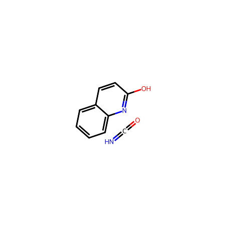 N=C=O.Oc1ccc2ccccc2n1